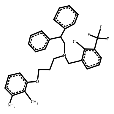 Cc1c(N)cccc1OCCCN(Cc1cccc(C(F)(F)F)c1Cl)CC(c1ccccc1)c1ccccc1